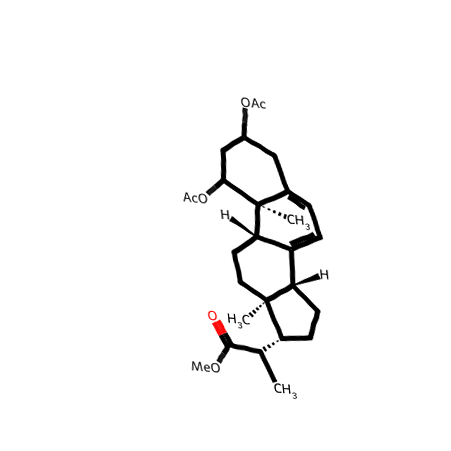 COC(=O)C(C)[C@H]1CC[C@H]2C3=CC=C4CC(OC(C)=O)CC(OC(C)=O)[C@]4(C)[C@H]3CC[C@]12C